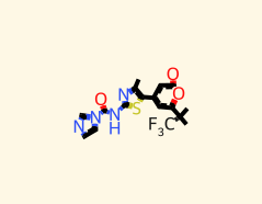 Cc1nc(NC(=O)n2ccnc2)sc1-c1cc(C(C)(C)C(F)(F)F)oc(=O)c1